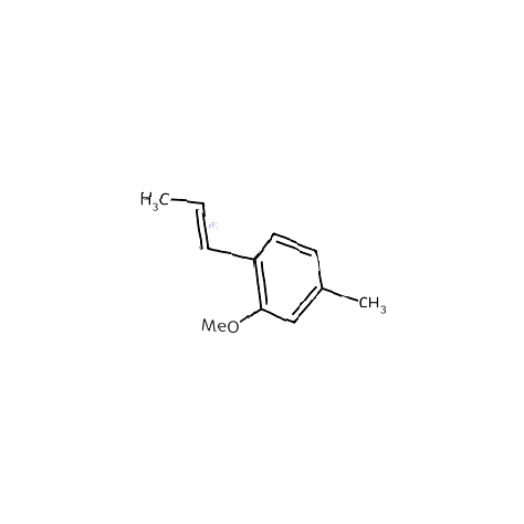 C/C=C/c1ccc(C)cc1OC